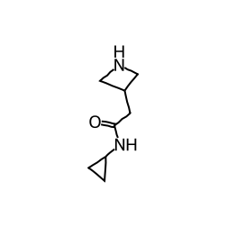 O=C(CC1CNC1)NC1CC1